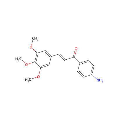 COc1cc(/C=C/C(=O)c2ccc(N)cc2)cc(OC)c1OC